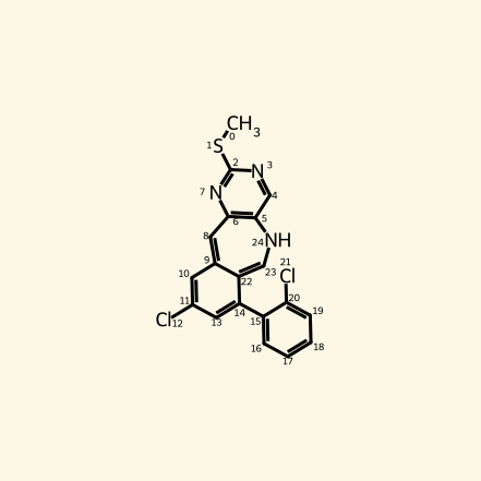 CSc1ncc2c(n1)C=c1cc(Cl)cc(-c3ccccc3Cl)c1=CN2